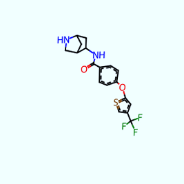 O=C(NC1CC2CC1CN2)c1ccc(Oc2cc(C(F)(F)F)cs2)cc1